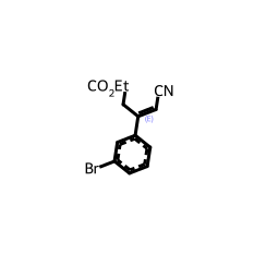 CCOC(=O)C/C(=C\C#N)c1cccc(Br)c1